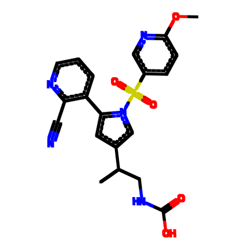 COc1ccc(S(=O)(=O)n2cc(C(C)CNC(=O)O)cc2-c2cccnc2C#N)cn1